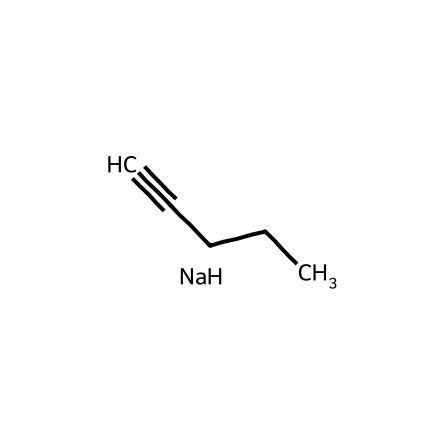 C#CCCC.[NaH]